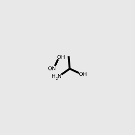 CC(N)O.O=NO